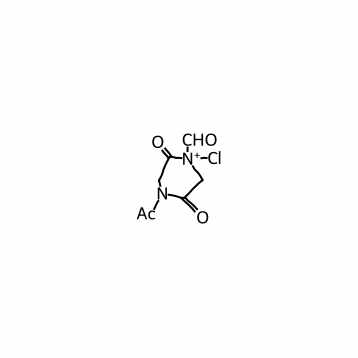 CC(=O)N1CC(=O)[N+](Cl)(C=O)CC1=O